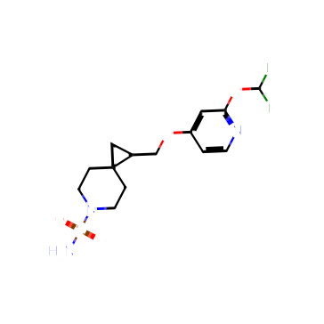 NS(=O)(=O)N1CCC2(CC1)CC2COc1ccnc(OC(F)F)c1